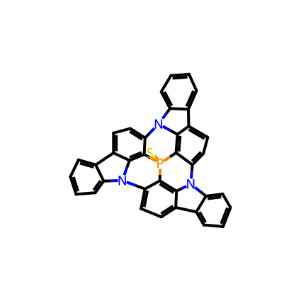 S=P12c3c4ccc5c6ccccc6n(c35)-c3ccc5c6ccccc6n(c5c31)-c1ccc3c5ccccc5n-4c3c12